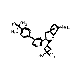 CC(C)(O)c1ccc(-c2cccc(N(CC34CCC(N)(CC3)CC4)C(=O)C3CC(O)(C(F)(F)F)C3)c2)cc1